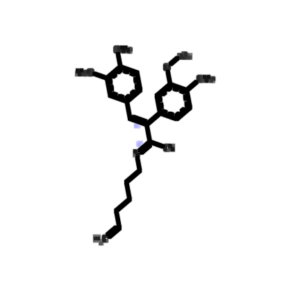 C=CCCCC/N=C(C#N)/C(=C/c1ccc(OC)c(OC)c1)c1ccc(OC)c(OCCCC)c1